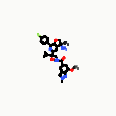 Cn1cc2cc(C(=O)NC[C@](O)(c3cc4c(c(-c5ccc(F)cc5)n3)OC[C@@]4(N)C(F)(F)F)C3CC3)cc(OC(F)(F)F)c2n1